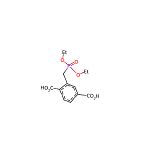 CCOP(=O)(Cc1cc(C(=O)O)ccc1C(=O)O)OCC